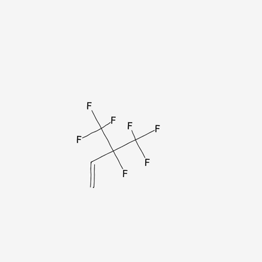 [CH]=CC(F)(C(F)(F)F)C(F)(F)F